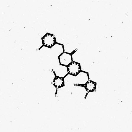 CCc1ccnc(CN2CCc3c(cc(Cn4cnn(C)c4=N)cc3-c3cn(CC)nc3C(F)(F)F)C2=O)c1